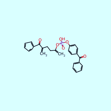 C=C(CCC(=C)C(=O)c1ccccc1)OP(=O)(O)Oc1ccc(C(=O)c2ccccc2)cc1